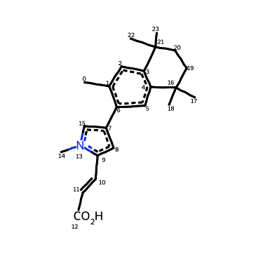 Cc1cc2c(cc1-c1cc(C=CC(=O)O)n(C)c1)C(C)(C)CCC2(C)C